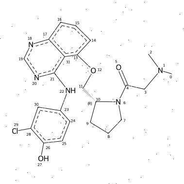 CN(C)CC(=O)N1CCC[C@@H]1COc1cccc2ncnc(Nc3ccc(O)c(Cl)c3)c12